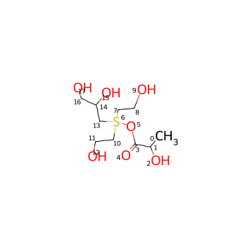 CC(O)C(=O)OS(CCO)(CCO)CC(O)CO